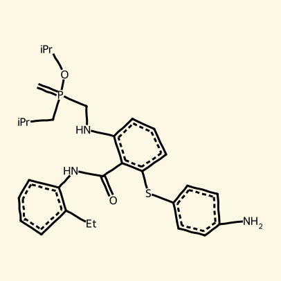 C=P(CNc1cccc(Sc2ccc(N)cc2)c1C(=O)Nc1ccccc1CC)(CC(C)C)OC(C)C